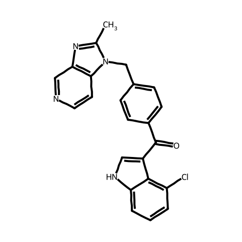 Cc1nc2cnccc2n1Cc1ccc(C(=O)c2c[nH]c3cccc(Cl)c23)cc1